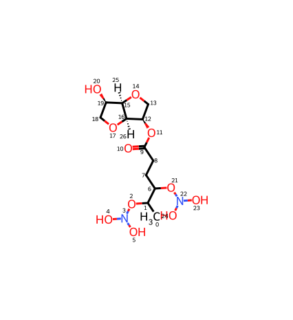 CC(ON(O)O)C(CCC(=O)O[C@@H]1CO[C@H]2[C@@H]1OC[C@H]2O)ON(O)O